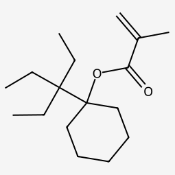 C=C(C)C(=O)OC1(C(CC)(CC)CC)CCCCC1